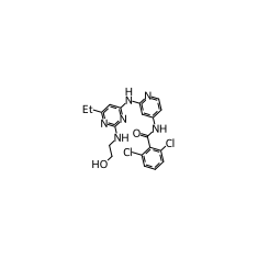 CCc1cc(Nc2cc(NC(=O)c3c(Cl)cccc3Cl)ccn2)nc(NCCO)n1